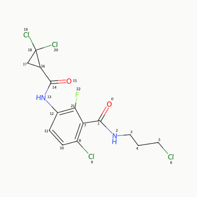 O=C(NCCCCl)c1c(Cl)ccc(NC(=O)C2CC2(Cl)Cl)c1F